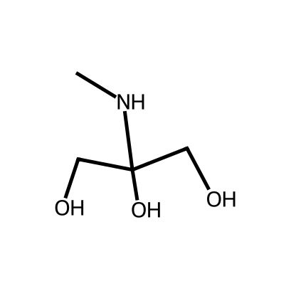 CNC(O)(CO)CO